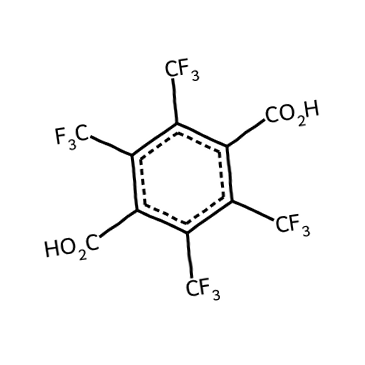 O=C(O)c1c(C(F)(F)F)c(C(F)(F)F)c(C(=O)O)c(C(F)(F)F)c1C(F)(F)F